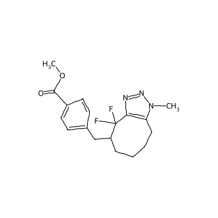 COC(=O)c1ccc(CC2CCCCc3c(nnn3C)C2(F)F)cc1